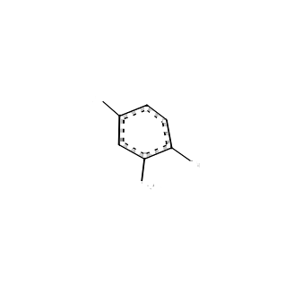 COc1[c]c(C)ccc1Br